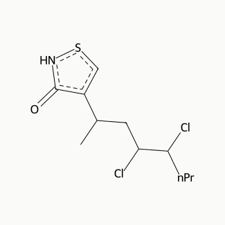 CCCC(Cl)C(Cl)CC(C)c1cs[nH]c1=O